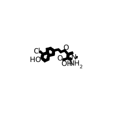 Cn1cc(C(=O)CCc2ccc3c(Cl)c(O)ccc3c2)c(C(=O)O)c1N